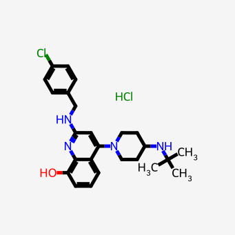 CC(C)(C)NC1CCN(c2cc(NCc3ccc(Cl)cc3)nc3c(O)cccc23)CC1.Cl